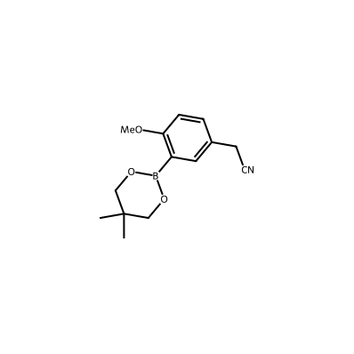 COc1ccc(CC#N)cc1B1OCC(C)(C)CO1